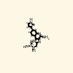 CCC[S+]([O-])N(CC)Cc1nc2c(N)nc3cc(-c4cc[nH]n4)ccc3c2[nH]1